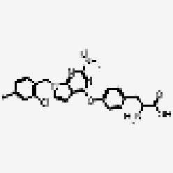 Cl.Nc1nc(Oc2ccc(CC(N)C(=O)O)cc2)c2ccn(Cc3ccc(F)cc3Cl)c2n1